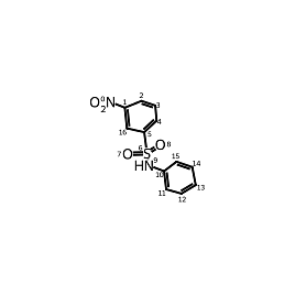 O=[N+]([O-])c1cccc(S(=O)(=O)Nc2ccccc2)c1